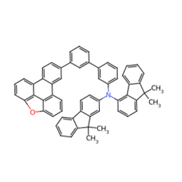 CC1(C)c2ccccc2-c2ccc(N(c3cccc(-c4cccc(-c5ccc6c(c5)c5cccc7oc8cccc6c8c75)c4)c3)c3cccc4c3-c3ccccc3C4(C)C)cc21